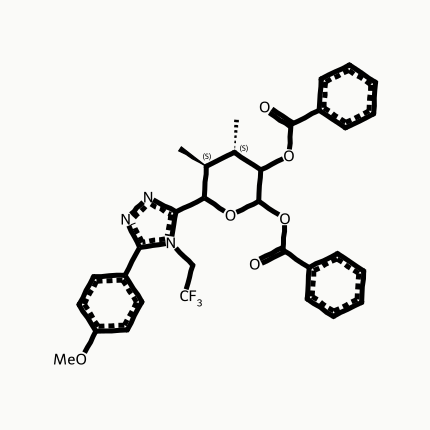 COc1ccc(-c2nnc(C3OC(OC(=O)c4ccccc4)C(OC(=O)c4ccccc4)[C@@H](C)[C@@H]3C)n2CC(F)(F)F)cc1